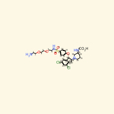 NCCOCCOCCNS(=O)(=O)c1ccc(O[C@H]2c3cc(Cl)cc(Cl)c3C[C@@H]2N2CCC[C@@H](NC(=O)O)C2)cc1